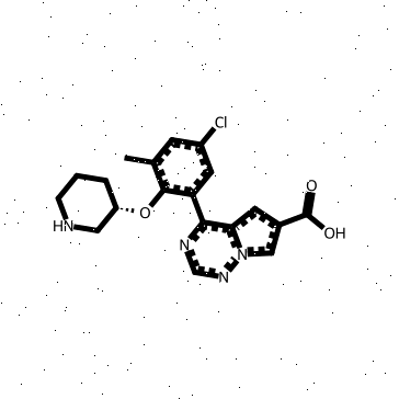 Cc1cc(Cl)cc(-c2ncnn3cc(C(=O)O)cc23)c1O[C@H]1CCCNC1